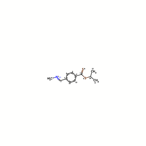 C/N=C/c1ccc(C(=S)SC(C)C)cc1